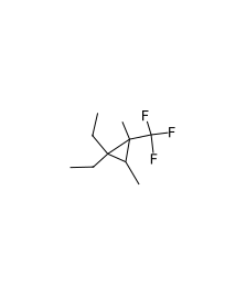 CCC1(CC)C(C)C1(C)C(F)(F)F